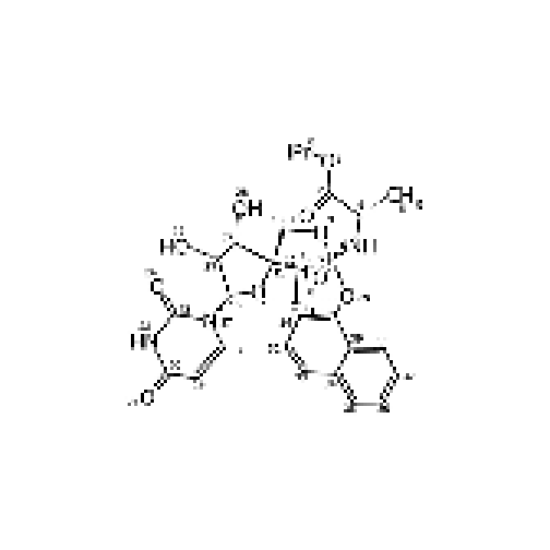 CC(C)OC(=O)[C@H](C)NP(=O)(OC[C@@]1(C(F)F)O[C@@H](n2ccc(=O)[nH]c2=O)[C@H](O)[C@@H]1O)Oc1cccc2ccccc12